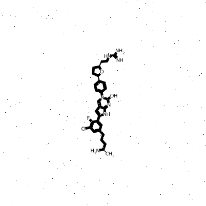 C[C@H](N)CCCc1cc(Cl)c(F)c(-c2cc3c([nH]2)=NC(O)N(c2ccc([C@H]4CC[C@@H](CCNC(=N)N)O4)cc2)C=3)c1